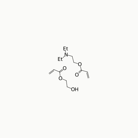 C=CC(=O)OCCN(CC)CC.C=CC(=O)OCCO